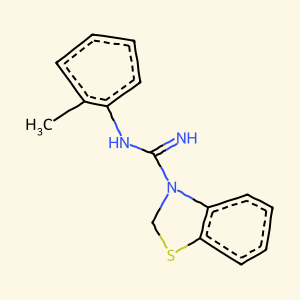 Cc1ccccc1NC(=N)N1CSc2ccccc21